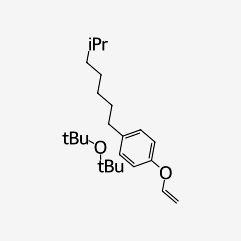 C=COc1ccc(CCCCCC(C)C)cc1.CC(C)(C)OC(C)(C)C